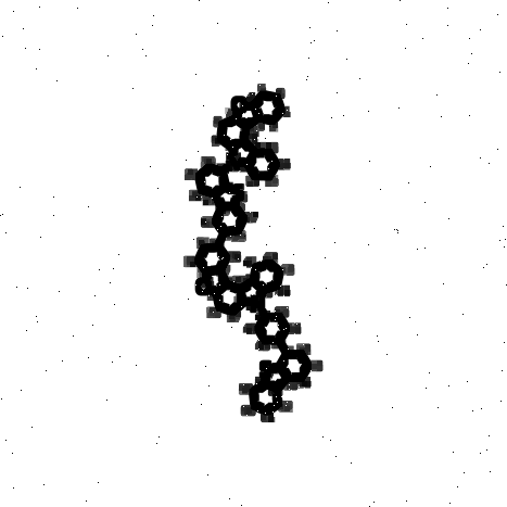 c1ccc2c(c1)oc1ccc3c(c4ccccc4n3-c3cccc4c3sc3ccc(-c5ccc6oc7ccc8c(c9ccccc9n8-c8ccc(-c9cccc%10c9sc9ccccc9%10)cc8)c7c6c5)cc34)c12